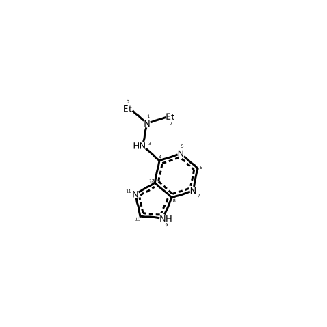 CCN(CC)Nc1ncnc2[nH]cnc12